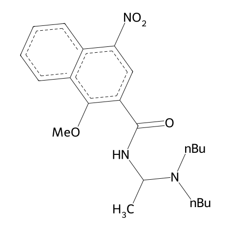 CCCCN(CCCC)C(C)NC(=O)c1cc([N+](=O)[O-])c2ccccc2c1OC